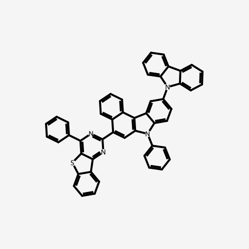 c1ccc(-c2nc(-c3cc4c(c5ccccc35)c3cc(-n5c6ccccc6c6ccccc65)ccc3n4-c3ccccc3)nc3c2sc2ccccc23)cc1